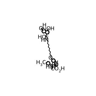 Cc1ccc(C(NC(=O)O)(c2cccc(OCCCCCCCCCNC[C@H](O)c3ccc(O)c4[nH]c(=O)ccc34)c2)[C@H]2CN3CCC2CC3)cc1